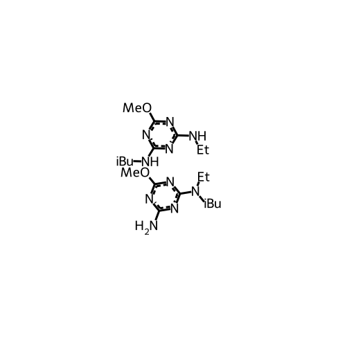 CCC(C)N(CC)c1nc(N)nc(OC)n1.CCNc1nc(NC(C)CC)nc(OC)n1